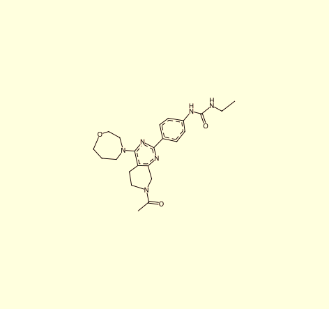 CCNC(=O)Nc1ccc(-c2nc3c(c(N4CCCOCC4)n2)CCN(C(C)=O)C3)cc1